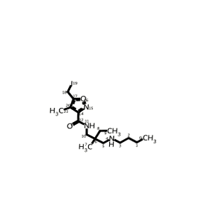 CCCCNCC(C)(CC)CNC(=O)c1noc(CI)c1C